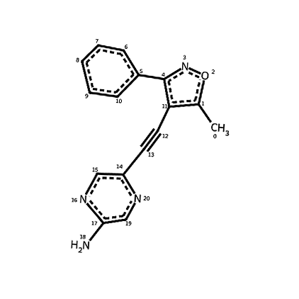 Cc1onc(-c2ccccc2)c1C#Cc1cnc(N)cn1